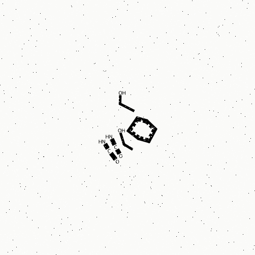 CCO.CCO.N=C=O.N=C=O.c1ccccc1